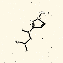 CC(N)CN(C)c1ccn(C(=O)O)n1